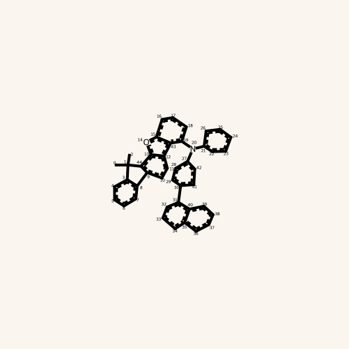 CC1(C)c2ccccc2-c2ccc3c(oc4cccc(N(c5ccccc5)c5ccc(-c6cccc7ccccc67)cc5)c43)c21